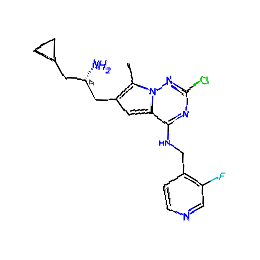 Cc1c(C[C@@H](N)CC2CC2)cc2c(NCc3ccncc3F)nc(Cl)nn12